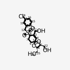 O=C(O)C1=CC2(CCC1S(=O)(=O)Cc1cccc(Cl)c1)O[C@@H](CO)[C@H](CO)O2